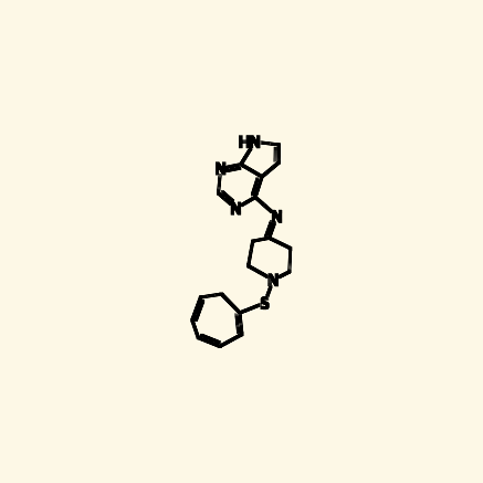 C1=CC=C(SN2CCC(=Nc3ncnc4[nH]ccc34)CC2)CC=C1